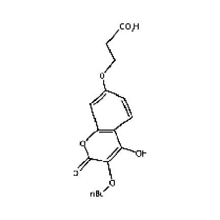 CCCCOc1c(O)c2ccc(OCCC(=O)O)cc2oc1=O